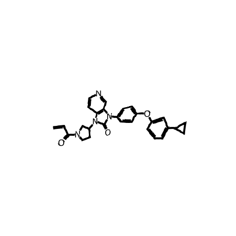 C=CC(=O)N1CCC(n2c(=O)n(-c3ccc(Oc4cccc(C5CC5)c4)cc3)c3cnccc32)C1